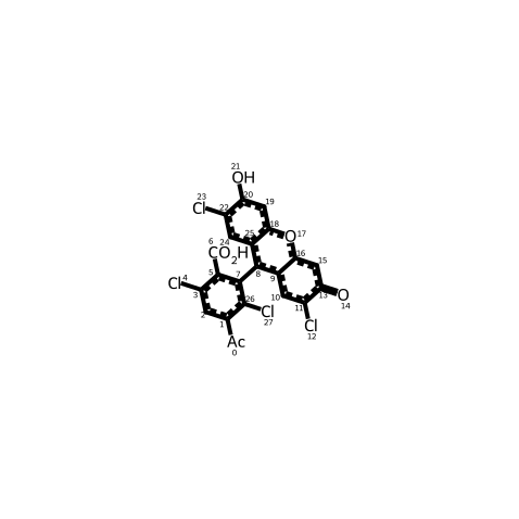 CC(=O)c1cc(Cl)c(C(=O)O)c(-c2c3cc(Cl)c(=O)cc-3oc3cc(O)c(Cl)cc23)c1Cl